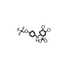 O=[N+]([O-])c1cc(Cl)c(Cl)cc1Nc1ccc(OCC(F)(F)F)cc1